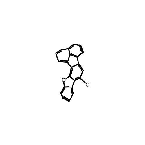 Clc1cc2c(c3oc4ccccc4c13)-c1cccc3cccc-2c13